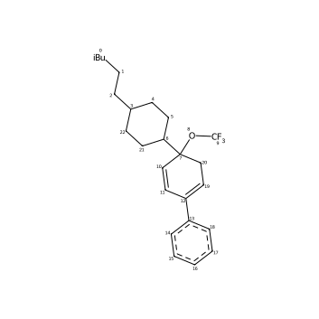 CCC(C)CCC1CCC(C2(OC(F)(F)F)C=CC(c3ccccc3)=CC2)CC1